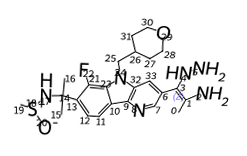 C/C(N)=C(/NN)c1cnc2c3ccc(C(C)(C)N[S+](C)[O-])c(F)c3n(CC3CCOCC3)c2c1